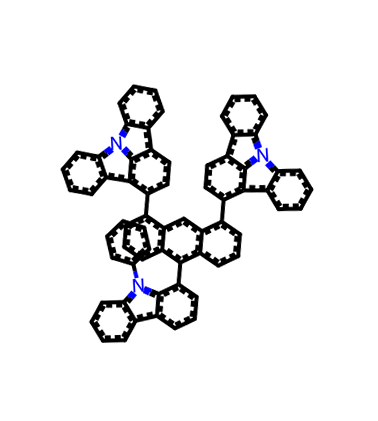 c1ccc(-n2c3ccccc3c3cccc(-c4c5cccc(-c6ccc7c8ccccc8n8c9ccccc9c6c78)c5cc5c(-c6ccc7c8ccccc8n8c9ccccc9c6c78)cccc45)c32)cc1